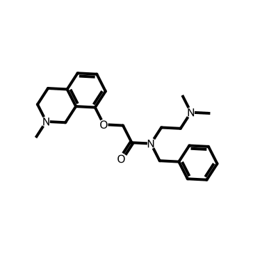 CN(C)CCN(Cc1ccccc1)C(=O)COc1cccc2c1CN(C)CC2